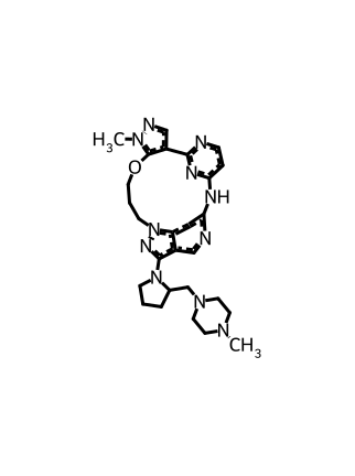 CN1CCN(CC2CCCN2c2nn3c4cc(ncc24)Nc2ccnc(n2)-c2cnn(C)c2OCCC3)CC1